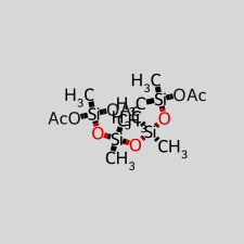 CC(=O)O[Si](C)(C)O[Si](C)(C)O[Si](C)(C)O[Si](C)(OC(C)=O)OC(C)=O